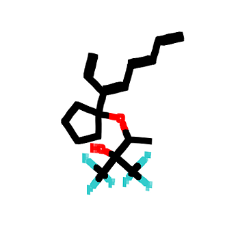 C=C/C=C/C=C(\C=C)C1(OC(C)C(O)(C(F)(F)F)C(F)(F)F)CCCC1